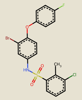 Cc1c(Cl)cccc1S(=O)(=O)Nc1ccc(Oc2ccc(F)cc2)c(Br)c1